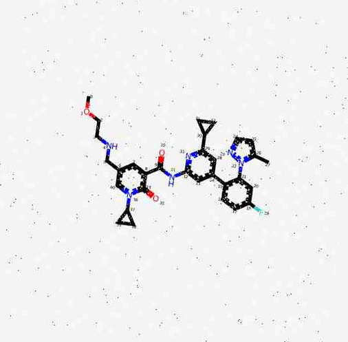 COCCNCc1cc(C(=O)Nc2cc(-c3ccc(F)cc3-n3nccc3C)cc(C3CC3)n2)c(=O)n(C2CC2)c1